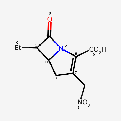 CCC1C(=O)N2C(C(=O)O)=C(C[N+](=O)[O-])CC12